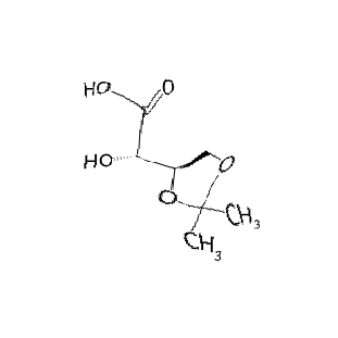 CC1(C)OC[C@H]([C@H](O)C(=O)O)O1